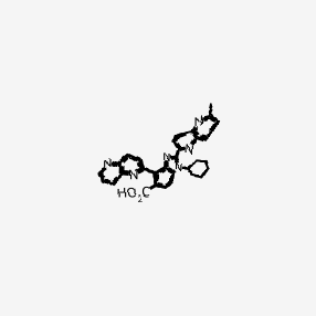 Cc1ccc2nc(-c3nc4c(-c5ccc6ncccc6n5)c(C(=O)O)ccc4n3C3CCCCC3)ccc2n1